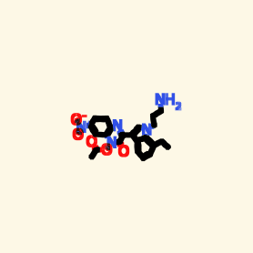 CCc1cccc2c(-c3nc4ccc([N+](=O)[O-])cc4n(OC(C)=O)c3=O)cn(CCCN)c12